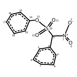 O=[N+]([O-])C(c1ccccc1)S(=O)(=O)Oc1ccccc1